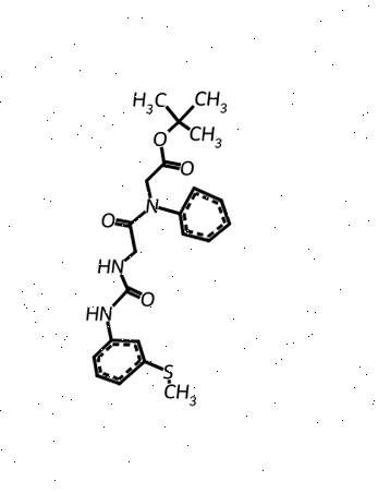 CSc1cccc(NC(=O)NCC(=O)N(CC(=O)OC(C)(C)C)c2ccccc2)c1